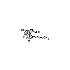 CCCC.CCCCCCCCCC(C)(C(=O)O)C(=O)O.O=C(O)CC(=O)O